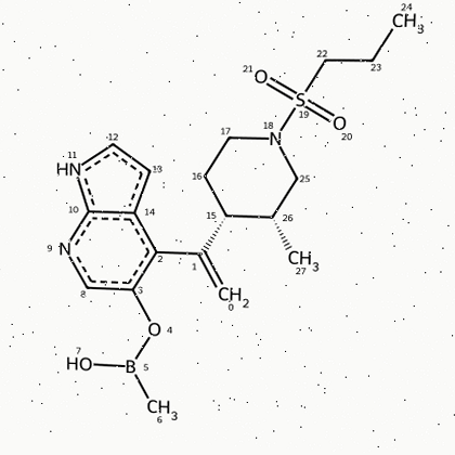 C=C(c1c(OB(C)O)cnc2[nH]ccc12)[C@@H]1CCN(S(=O)(=O)CCC)C[C@@H]1C